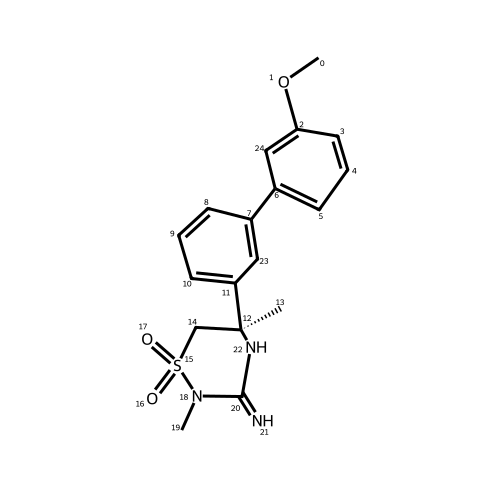 COc1cccc(-c2cccc([C@]3(C)CS(=O)(=O)N(C)C(=N)N3)c2)c1